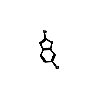 CCc1cc2ccc(Cl)cc2o1